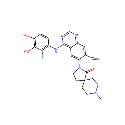 COc1cc2ncnc(Nc3ccc(O)c(O)c3F)c2cc1N1CCC2(CCN(C)CC2)C1=O